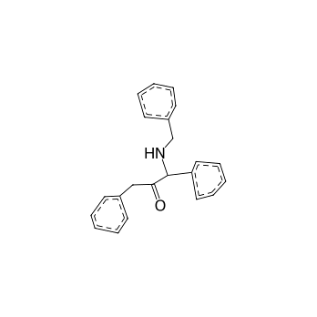 O=C(Cc1ccccc1)C(NCc1ccccc1)c1ccccc1